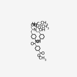 COC(=O)c1ccc(C(=O)Nc2ccc(C[C@@H](CO)N(C[C@H](O)c3cccc(Cl)c3)C(=O)OC(C)(C)C)cc2)cc1